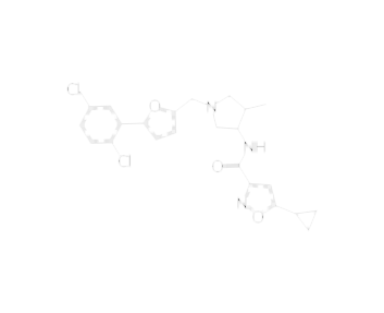 CC1CN(Cc2ccc(-c3cc(Cl)ccc3Cl)o2)CC1NC(=O)c1cc(C2CC2)on1